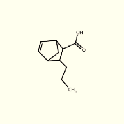 CCCC1C2C=CC(C2)C1C(=O)O